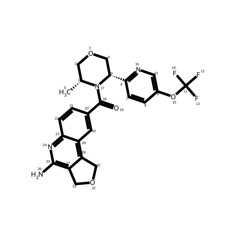 C[C@@H]1COC[C@H](c2ccc(OC(F)(F)F)cn2)N1C(=O)c1ccc2nc(N)c3c(c2c1)COC3